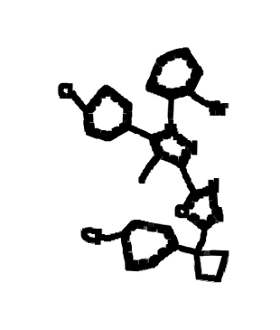 Cc1c(-c2nnc(C3(c4ccc(Cl)cc4)CCC3)o2)nn(-c2ccccc2Br)c1-c1ccc(Cl)cc1